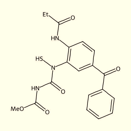 CCC(=O)Nc1ccc(C(=O)c2ccccc2)cc1N(S)C(=O)NC(=O)OC